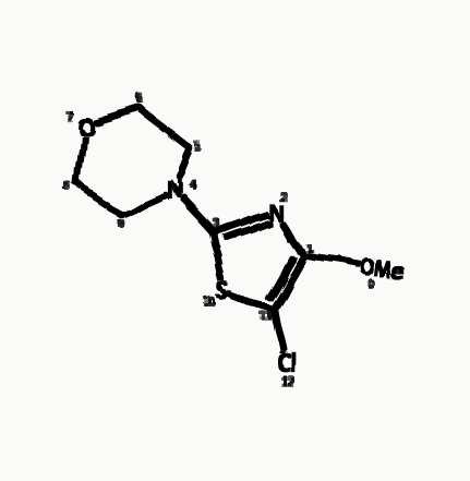 COc1nc(N2CCOCC2)sc1Cl